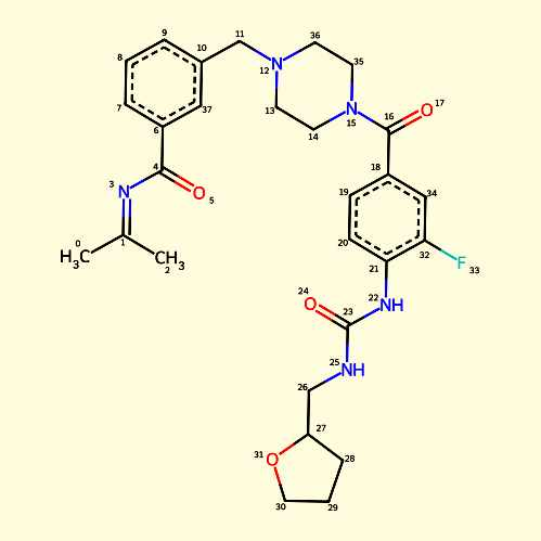 CC(C)=NC(=O)c1cccc(CN2CCN(C(=O)c3ccc(NC(=O)NCC4CCCO4)c(F)c3)CC2)c1